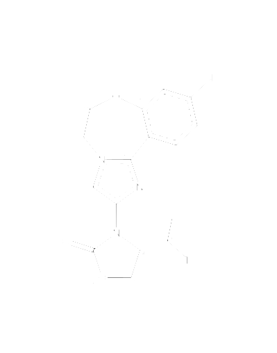 O=C1OC[C@@H](C(F)F)N1c1cn2c(n1)-c1ccc(I)cc1OCC2